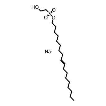 CCCCCCCCC=CCCCCCCCCOS(=O)(=O)CCO.[Na]